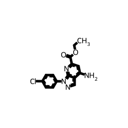 CCOC(=O)c1cc(N)c2cnn(-c3ccc(Cl)cc3)c2n1